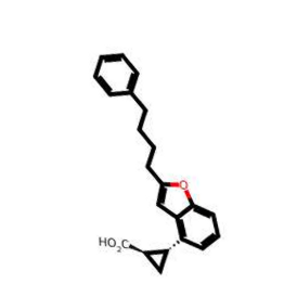 O=C(O)[C@@H]1C[C@H]1c1cccc2oc(CCCCc3ccccc3)cc12